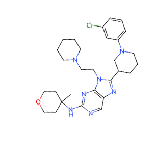 CC1(Nc2ncc3nc(C4CCCN(c5cccc(Cl)c5)C4)n(CCN4CCCCC4)c3n2)CCOCC1